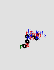 NC(=O)Oc1ncccc1[C@@H](CO)C(=O)Nc1cccc(-c2ccc(Oc3ccc(F)cc3)cc2)n1